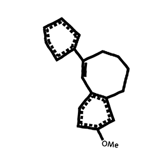 COc1ccc2c(c1)CCCC/C(c1ccccc1)=C\2